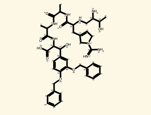 CC(NC(=O)C(C)NC(=O)C(CC1=CCN(C(=N)N)C1)NCC(N)C(C)O)C(=O)NC(C(=O)O)C(O)c1ccc(OCc2ccccc2)c(OCc2ccccc2)c1